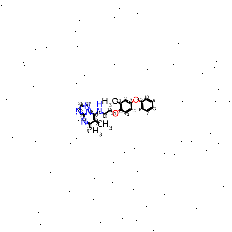 Cc1cc(Oc2ccccc2)ccc1OCCNc1c(C)c(C)nc2ncnn12